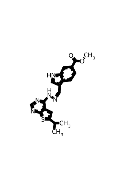 COC(=O)c1ccc2c(/C=N\Nc3ncnc4sc(C(C)C)cc34)c[nH]c2c1